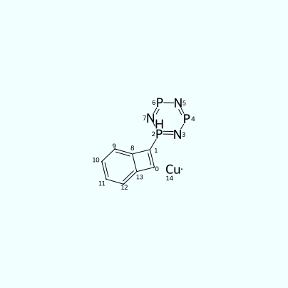 C1=C([PH]2=NP=NP=N2)c2ccccc21.[Cu]